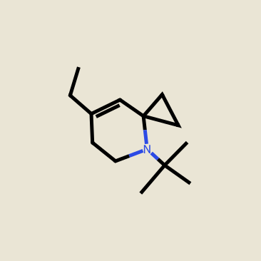 CCC1=CC2(CC2)N(C(C)(C)C)CC1